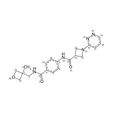 CC1(CNC(=O)c2ccc(NC(=O)C3CN(c4cccnn4)C3)cc2)COC1